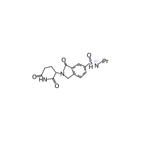 CC(C)/N=[SH](=O)/c1ccc2c(c1)C(=O)N(C1CCC(=O)NC1=O)C2